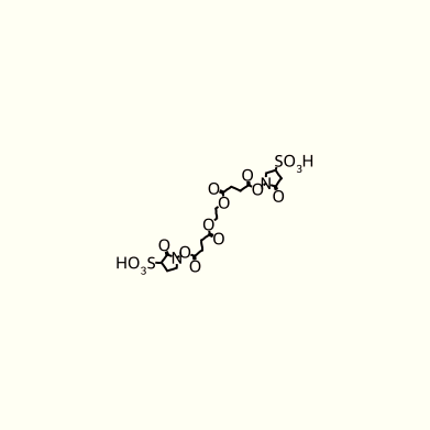 O=C(CCC(=O)ON1CC(S(=O)(=O)O)CC1=O)OCCOC(=O)CCC(=O)ON1CCC(S(=O)(=O)O)C1=O